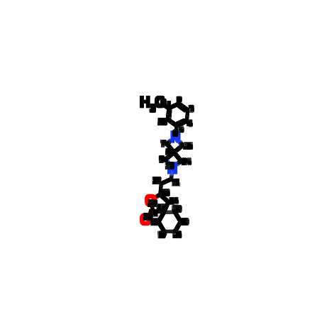 Cc1cccc(N2CC3(CN(CCC4CC5(CCCCC5)C(=O)O4)C3)C2)c1